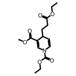 CCOC(=O)CCC1C=CN(C(=O)OCC)C=C1C(=O)OC